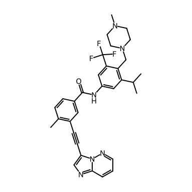 Cc1ccc(C(=O)Nc2cc(C(C)C)c(CN3CCN(C)CC3)c(C(F)(F)F)c2)cc1C#Cc1cnc2cccnn12